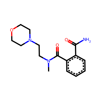 CN(CCN1CCOCC1)C(=O)c1ccccc1C(N)=O